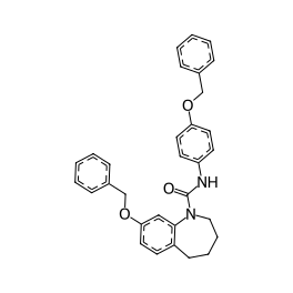 O=C(Nc1ccc(OCc2ccccc2)cc1)N1CCCCc2ccc(OCc3ccccc3)cc21